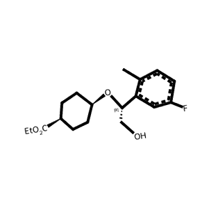 CCOC(=O)[C@H]1CC[C@@H](O[C@@H](CO)c2cc(F)ccc2C)CC1